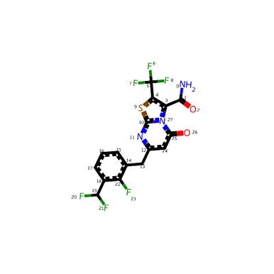 NC(=O)c1c(C(F)(F)F)sc2nc(Cc3cccc(C(F)F)c3F)cc(=O)n12